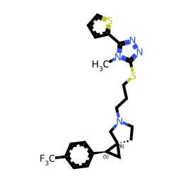 Cn1c(SCCCN2CC[C@@]3(C[C@H]3c3ccc(C(F)(F)F)cc3)C2)nnc1-c1cccs1